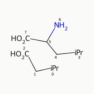 CC(C)CC(=O)O.CC(C)CC(N)C(=O)O